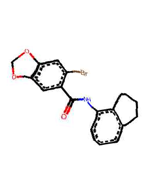 O=C(Nc1cccc2c1CCC2)c1cc2c(cc1Br)OCO2